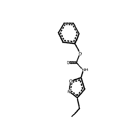 CCc1cc(NC(=O)Oc2ccccc2)on1